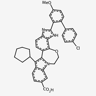 COc1ccc(-c2ccc(Cl)cc2)c(-c2nc3ccc4c(c3[nH]2)OCCn2c-4c(C3CCCCC3)c3ccc(C(=O)O)cc32)c1